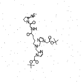 [C-]#[N+][C@@H]1CCCN1C(=O)CNC(=O)CCCCN(Cc1nccn1CC(=O)OC(C)(C)C)Cc1nccn1CC(=O)OC(C)(C)C